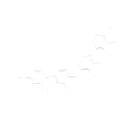 Cc1c(-c2ccc(Cc3ccc(-c4ccc(C#N)c(I)c4I)c(C)c3I)c(C)c2I)ccc(C#N)c1I